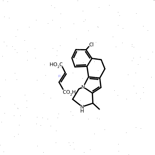 CC1NCCn2c1cc1c2-c2cccc(Cl)c2CC1.O=C(O)/C=C/C(=O)O